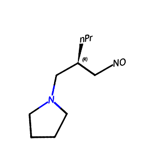 CCC[C@@H](CN=O)CN1CCCC1